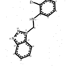 CCc1ccccc1NCn1nnc2ccccc21